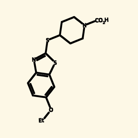 CCOc1ccc2nc(SC3CCN(C(=O)O)CC3)sc2c1